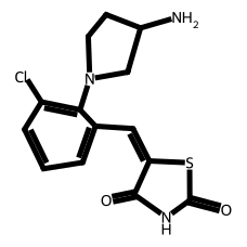 NC1CCN(c2c(Cl)cccc2/C=C2/SC(=O)NC2=O)C1